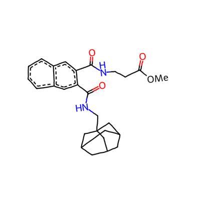 COC(=O)CCNC(=O)c1cc2ccccc2cc1C(=O)NCC12CC3CC(CC(C3)C1)C2